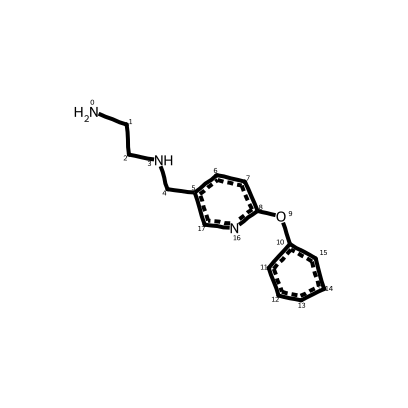 NCCNCc1ccc(Oc2ccccc2)nc1